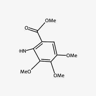 COC(=O)c1cc(OC)c(OC)c(OC)c1[NH]